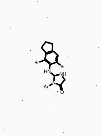 CC(=O)N1C(=O)CNC1Nc1c(Br)cc2c(c1Br)CCC2